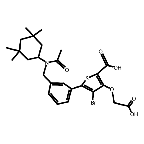 CC(=O)N(Cc1cccc(-c2sc(C(=O)O)c(OCC(=O)O)c2Br)c1)C1CC(C)(C)CC(C)(C)C1